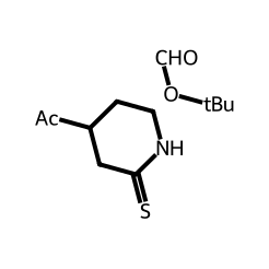 CC(=O)C1CCNC(=S)C1.CC(C)(C)OC=O